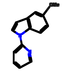 COc1ccc2c(ccn2-c2ccccn2)c1